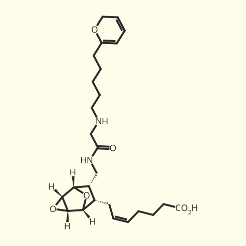 O=C(O)CCC/C=C\C[C@H]1[C@@H](CNC(=O)CNCCCCCC2=CC=CCO2)[C@@H]2O[C@H]1[C@@H]1O[C@@H]12